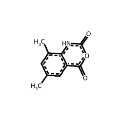 Cc1cc(C)c2[nH]c(=O)oc(=O)c2c1